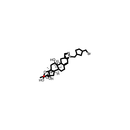 CC1O[C@@H]2C[C@H]3[C@@H]4CCC5=Cc6c(cnn6CC6CCC(CBr)C6)C[C@]5(C)[C@H]4[C@@H](O)C[C@]3(C)[C@]2(C(=O)CO)O1